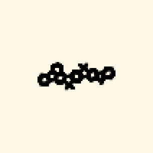 CC1(C)c2cc3c(cc2-c2cc4sc5ccccc5c4cc21)C(C)(C)c1cc2c4c(cccc4c1-3)-c1ccccc1-2